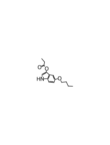 CCCCOc1ccc2[nH]cc(OC(=O)CC)c2c1